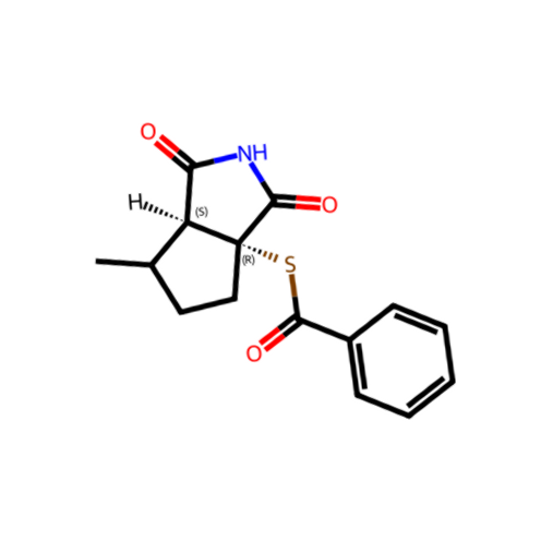 CC1CC[C@]2(SC(=O)c3ccccc3)C(=O)NC(=O)[C@H]12